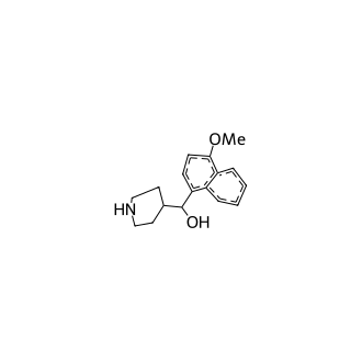 COc1ccc(C(O)C2CCNCC2)c2ccccc12